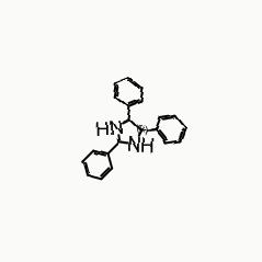 c1ccc(C2NC(c3ccccc3)[C@@H](c3ccccc3)N2)cc1